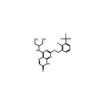 O=c1cnc2c(NC(CO)CO)nc(SCc3cccc(C(F)(F)F)c3F)nc2[nH]1